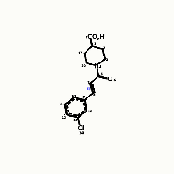 O=C(O)C1CCN(C(=O)/C=C/c2cc[c]c(Cl)c2)CC1